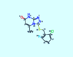 CCCc1cc(=O)[nH]c2nnc(SCc3c(F)cccc3Cl)n12